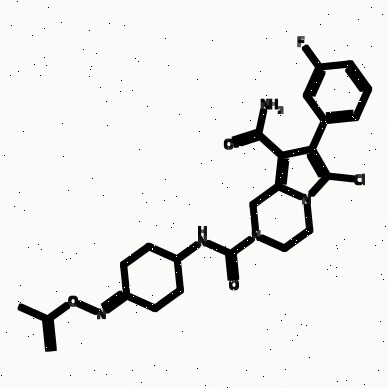 C=C(C)ON=C1CCC(NC(=O)N2CCn3c(Cl)c(-c4cccc(F)c4)c(C(N)=O)c3C2)CC1